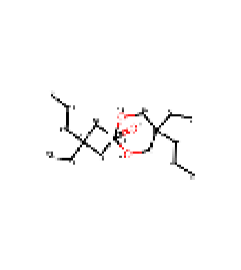 CCCC1(CC)C[O][Ti]2(=[O])([CH2]C(CC)(CCC)[CH2]2)[O]C1